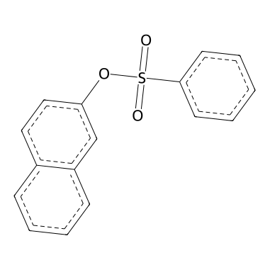 O=S(=O)(Oc1ccc2ccccc2c1)c1ccccc1